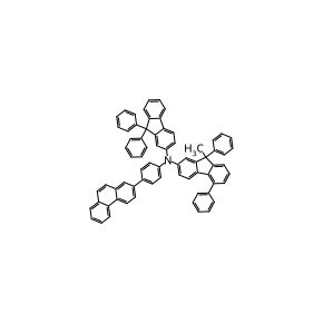 CC1(c2ccccc2)c2cc(N(c3ccc(-c4ccc5c(ccc6ccccc65)c4)cc3)c3ccc4c(c3)C(c3ccccc3)(c3ccccc3)c3ccccc3-4)ccc2-c2c(-c3ccccc3)cccc21